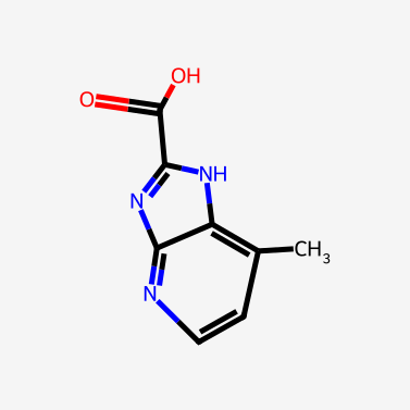 Cc1ccnc2nc(C(=O)O)[nH]c12